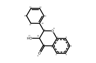 O=C1c2ccccc2OC(C2=CC=CCC2)C1O